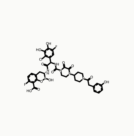 O=C(O)c1c(F)ccc2c1OB(O)[C@@H](NC(=O)C(NC(=O)N1CCN(C3CCN(C(=O)Cc4cccc(O)c4)CC3)C(=O)C1=O)c1cc(F)c(O)c(O)c1Cl)C2